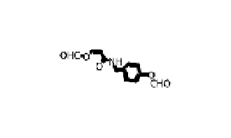 O=CO/C=C\C(=O)NCc1ccc(OC=O)cc1